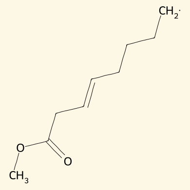 [CH2]CCCC=CCC(=O)OC